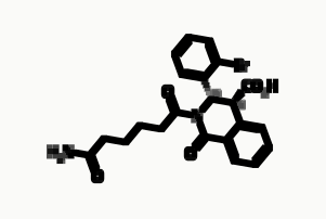 NC(=O)CCCCC(=O)N1C(=O)c2ccccc2[C@H](C(=O)O)[C@H]1c1ccccc1Br